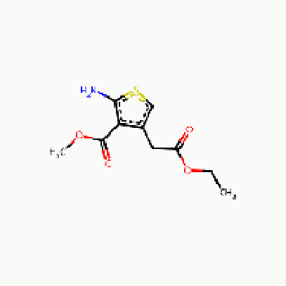 CCOC(=O)Cc1csc(N)c1C(=O)OC